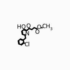 CCOC(=O)CCC(=O)c1nc(Cc2ccccc2Cl)ccc1O